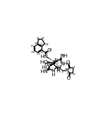 N=C1N[C@H]2[C@H](CN3C(=O)CCC3=O)NC(=N)N3C[C@H](NC(=O)c4cccc5c4CCC5)C(O)(O)[C@]23N1